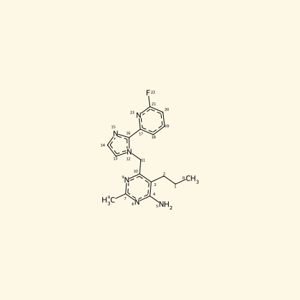 CCCc1c(N)nc(C)nc1Cn1ccnc1-c1cccc(F)n1